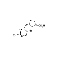 O=C(O)N1CCC(Oc2nc(Cl)ncc2Br)C1